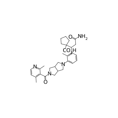 Cc1ccnc(C)c1C(=O)N1CC2CN(c3cccc(C(CC(N)=O)C4(C(=O)O)CCCC4)c3C)CC2C1